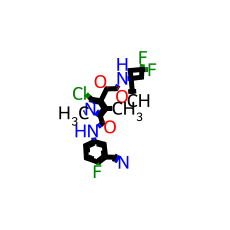 C#CC1(NC(=O)C(=O)c2c(C)c(C(=O)Nc3ccc(F)c(C#N)c3)n(C)c2Cl)CC(F)(F)C1